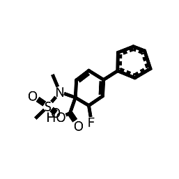 CN(C1(C(=O)O)C=CC(c2ccccc2)=CC1F)S(C)(=O)=O